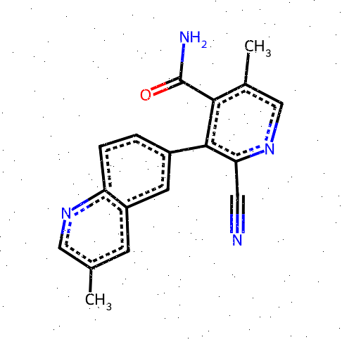 Cc1cnc2ccc(-c3c(C#N)ncc(C)c3C(N)=O)cc2c1